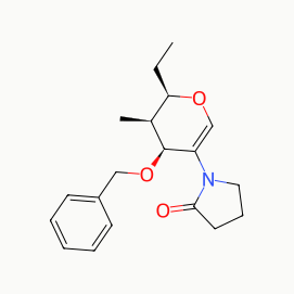 CC[C@H]1OC=C(N2CCCC2=O)[C@@H](OCc2ccccc2)[C@H]1C